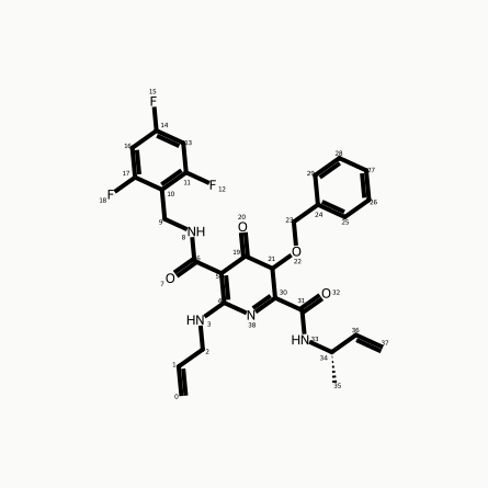 C=CCNC1=C(C(=O)NCc2c(F)cc(F)cc2F)C(=O)C(OCc2ccccc2)C(C(=O)N[C@@H](C)C=C)=N1